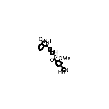 COc1cc(-c2cn[nH]c2)ccc1C(=O)N[C@H]1CC2(C1)C[C@H](c1n[nH]c(=O)c3ccccc31)C2